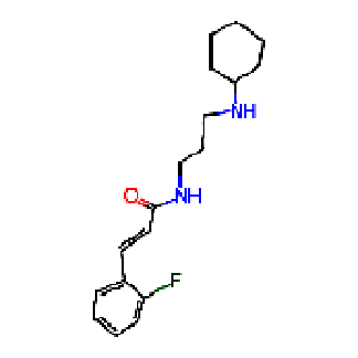 O=C(/C=C/c1ccccc1F)NCCCNC1CCCCC1